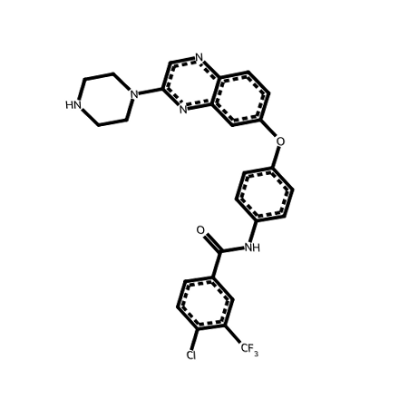 O=C(Nc1ccc(Oc2ccc3ncc(N4CCNCC4)nc3c2)cc1)c1ccc(Cl)c(C(F)(F)F)c1